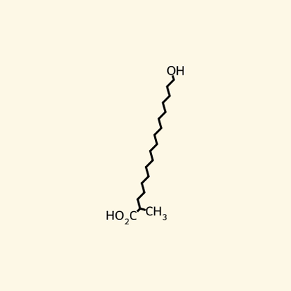 CC(CCCCCCCCCCCCCCCCO)C(=O)O